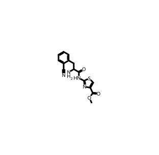 COC(=O)c1csc(NC(=O)C(N)Cc2ccccc2C#N)n1